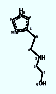 OCCNCCc1c[nH]cn1